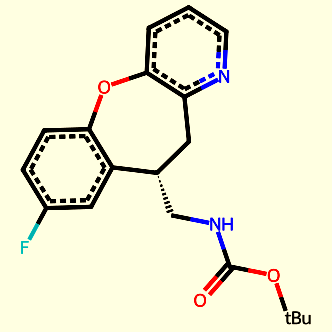 CC(C)(C)OC(=O)NC[C@H]1Cc2ncccc2Oc2ccc(F)cc21